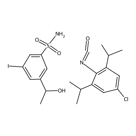 CC(C)c1cc(Cl)cc(C(C)C)c1N=C=O.CC(O)c1cc(I)cc(S(N)(=O)=O)c1